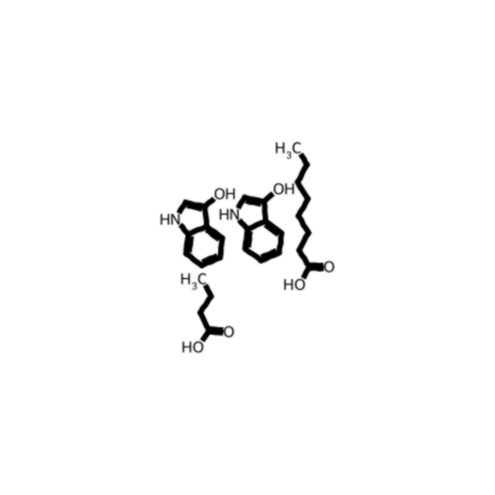 CCCC(=O)O.CCCCCCCC(=O)O.Oc1c[nH]c2ccccc12.Oc1c[nH]c2ccccc12